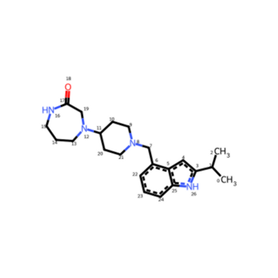 CC(C)c1cc2c(CN3CCC(N4CCCNC(=O)C4)CC3)cccc2[nH]1